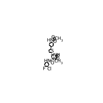 CN1[C@H](C(=O)Nc2ccc(F)c(Cl)c2)C[C@H](c2ccc(-c3ccc(NS(C)(=O)=O)cc3)s2)NS1(=O)=O